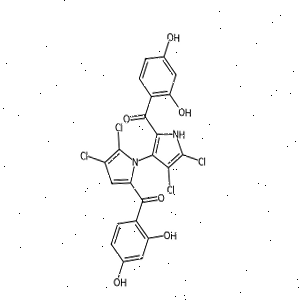 O=C(c1ccc(O)cc1O)c1[nH]c(Cl)c(Cl)c1-n1c(C(=O)c2ccc(O)cc2O)cc(Cl)c1Cl